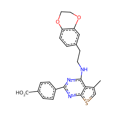 Cc1csc2nc(-c3ccc(C(=O)O)cc3)nc(NCCc3ccc4c(c3)OCCO4)c12